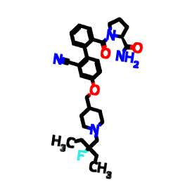 CCC(F)(CC)CN1CCC(COc2ccc(-c3ccccc3C(=O)N3CCC[C@H]3C(N)=O)c(C#N)c2)CC1